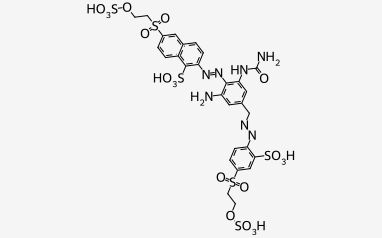 NC(=O)Nc1cc(C/N=N/c2ccc(S(=O)(=O)CCOS(=O)(=O)O)cc2S(=O)(=O)O)cc(N)c1/N=N/c1ccc2cc(S(=O)(=O)CCOS(=O)(=O)O)ccc2c1S(=O)(=O)O